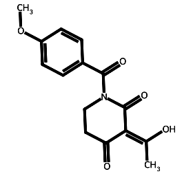 COc1ccc(C(=O)N2CCC(=O)/C(=C(\C)O)C2=O)cc1